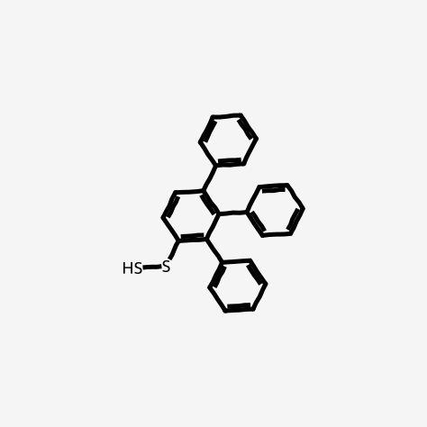 SSc1ccc(-c2ccccc2)c(-c2ccccc2)c1-c1ccccc1